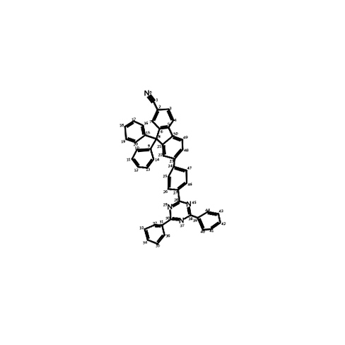 N#Cc1ccc2c(c1)C(c1ccccc1)(c1ccccc1)c1cc(-c3ccc(-c4nc(-c5ccccc5)nc(-c5ccccc5)n4)cc3)ccc1-2